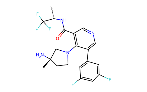 C[C@H](NC(=O)c1cncc(-c2cc(F)cc(F)c2)c1N1CC[C@](C)(N)C1)C(F)(F)F